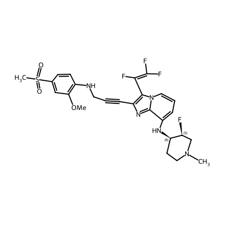 COc1cc(S(C)(=O)=O)ccc1NCC#Cc1nc2c(N[C@@H]3CCN(C)C[C@@H]3F)cccn2c1C(F)=C(F)F